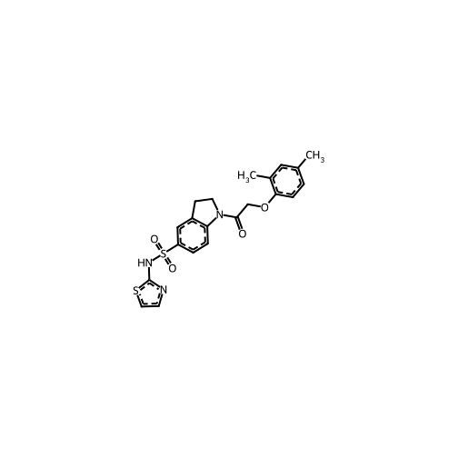 Cc1ccc(OCC(=O)N2CCc3cc(S(=O)(=O)Nc4nccs4)ccc32)c(C)c1